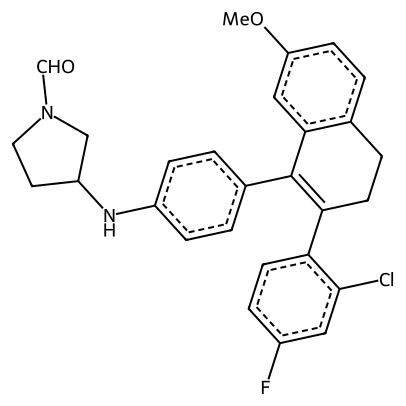 COc1ccc2c(c1)C(c1ccc(NC3CCN(C=O)C3)cc1)=C(c1ccc(F)cc1Cl)CC2